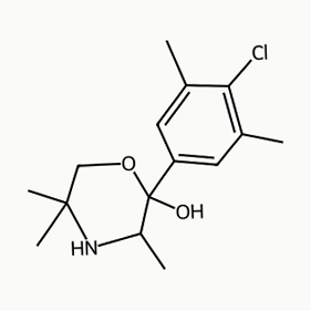 Cc1cc(C2(O)OCC(C)(C)NC2C)cc(C)c1Cl